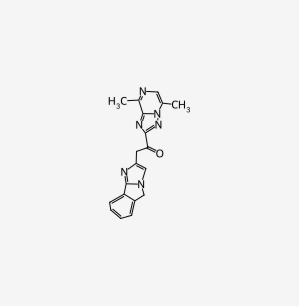 Cc1ncc(C)n2nc(C(=O)Cc3cn4c(n3)-c3ccccc3C4)nc12